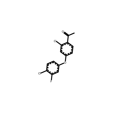 CC(=O)c1ccc(Oc2ccc(Cl)c(F)c2)cc1Cl